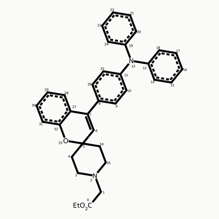 CCOC(=O)CN1CCC2(C=C(c3ccc(N(c4ccccc4)c4ccccc4)cc3)c3ccccc3O2)CC1